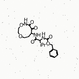 CC(C)C(NC(=O)OCc1ccccc1)C(=O)NC1CCOCCONC(=O)C1=O